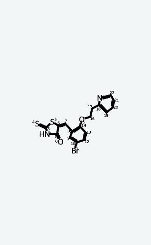 O=C1NC(=S)S/C1=C/c1cc(Br)ccc1OCCc1ccccn1